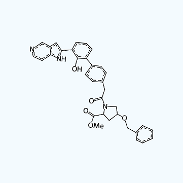 COC(=O)C1CC(OCc2ccccc2)CN1C(=O)Cc1ccc(-c2cccc(-c3cc4cnccc4[nH]3)c2O)cc1